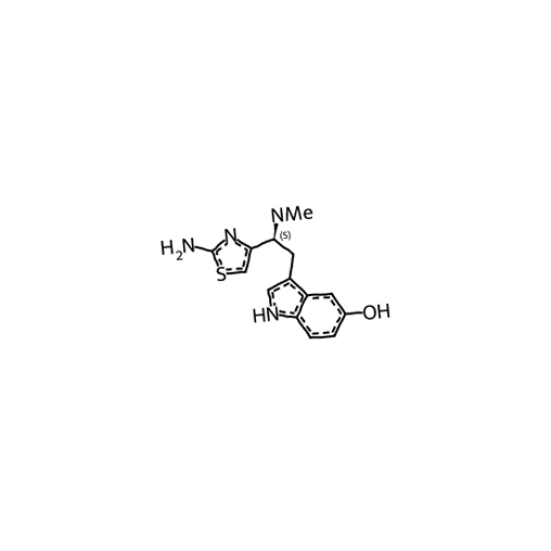 CN[C@@H](Cc1c[nH]c2ccc(O)cc12)c1csc(N)n1